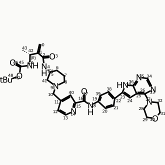 C=C(C(=O)N[C@@H]1CCCN(Cc2ccnc(C(=O)Nc3ccc(-c4cc5c(N6CCOCC6)ncnc5[nH]4)cc3)c2)C1)[C@@H](C)NC(=O)OC(C)(C)C